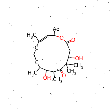 CC(=O)C1/C=C(/C)CCCC(C)C(O)C(C)C(=O)C(C)(C)C(O)CC(=O)O1